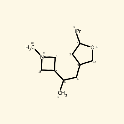 CC(C)C1CC(CC(C)C2CN(C)C2)CO1